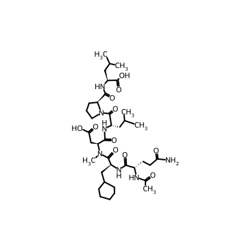 CC(=O)N[C@@H](CCC(N)=O)C(=O)N[C@@H](CC1CCCCC1)C(=O)N(C)[C@@H](CC(=O)O)C(=O)N[C@@H](CC(C)C)C(=O)N1CCC[C@H]1C(=O)N[C@@H](CC(C)C)C(=O)O